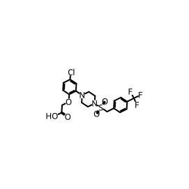 O=C(O)COc1ccc(Cl)cc1N1CCN(S(=O)(=O)Cc2ccc(C(F)(F)F)cc2)CC1